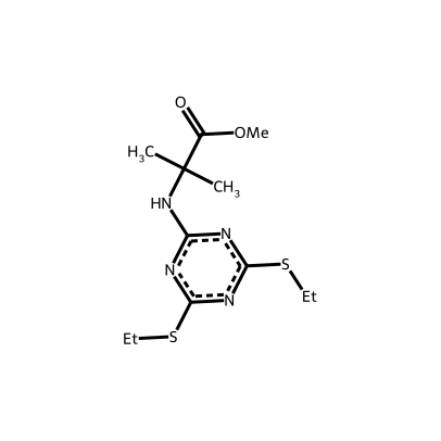 CCSc1nc(NC(C)(C)C(=O)OC)nc(SCC)n1